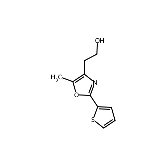 Cc1oc(-c2cccs2)nc1CCO